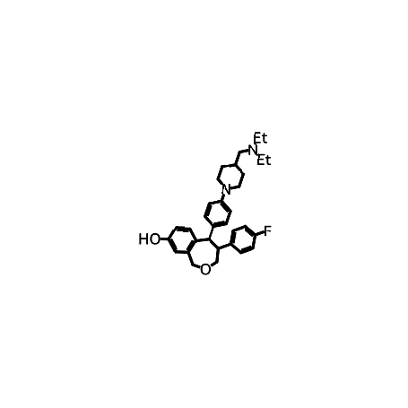 CCN(CC)CC1CCN(c2ccc(C3c4ccc(O)cc4COCC3c3ccc(F)cc3)cc2)CC1